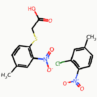 Cc1ccc(SCC(=O)O)c([N+](=O)[O-])c1.Cc1ccc([N+](=O)[O-])c(Cl)c1